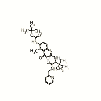 Cc1c(NC(=O)OC(C)(C)C)ccc2nc(N[C@H](C(=O)NCc3ccccn3)C(C)(C)C)oc(=O)c12